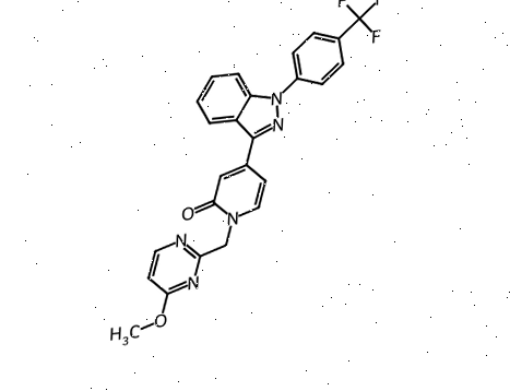 COc1ccnc(Cn2ccc(-c3nn(-c4ccc(C(F)(F)F)cc4)c4ccccc34)cc2=O)n1